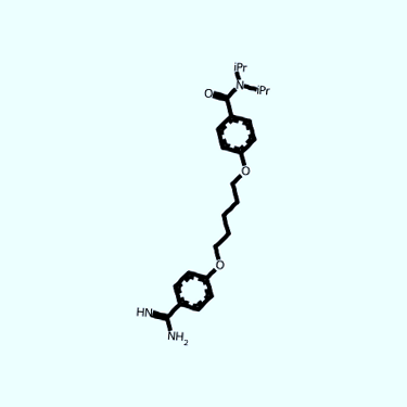 CC(C)N(C(=O)c1ccc(OCCCCCOc2ccc(C(=N)N)cc2)cc1)C(C)C